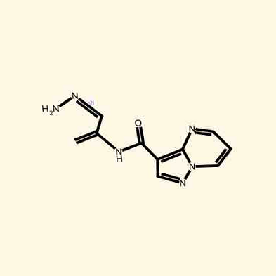 C=C(/C=N\N)NC(=O)c1cnn2cccnc12